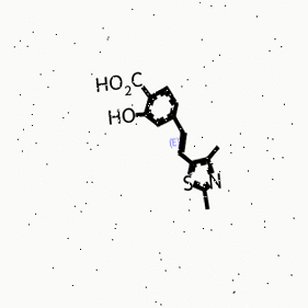 Cc1nc(C)c(/C=C/c2ccc(C(=O)O)c(O)c2)s1